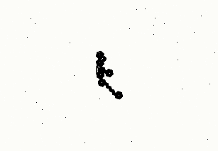 CC1(C)c2ccccc2-c2ccc(-c3cc(-c4ccccc4)c4cc(-c5cccc(CCCCCCc6ccccc6)c5)ccc4n3)cc21